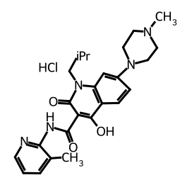 Cc1cccnc1NC(=O)c1c(O)c2ccc(N3CCN(C)CC3)cc2n(CC(C)C)c1=O.Cl